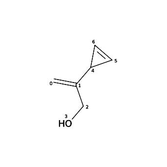 C=C(CO)C1C=C1